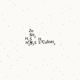 S.S.S.S.S.[Cu].[SnH2].[Zn]